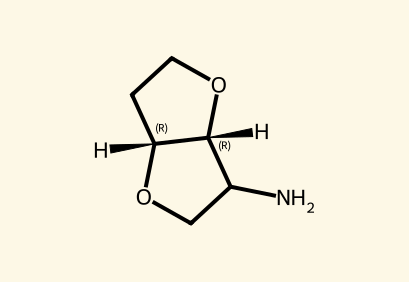 NC1CO[C@@H]2CCO[C@H]12